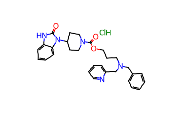 Cl.O=C(OCCCN(Cc1ccccc1)Cc1ccccn1)N1CCC(n2c(=O)[nH]c3ccccc32)CC1